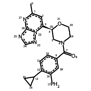 Cc1cc([C@@H]2CN(C(=O)c3ccc(C4CC4)c(P)c3)CCO2)n2ncnc2n1